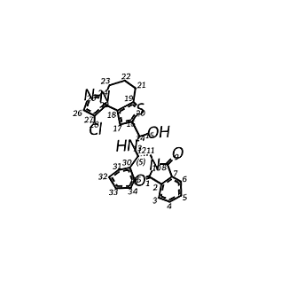 O=C1c2ccccc2C(=O)N1C[C@@H](NC(O)c1cc2c(s1)CCCn1ncc(Cl)c1-2)c1ccccc1